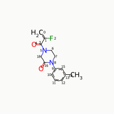 C=C(F)C(=O)N1CCN(c2cccc(C)c2)C(=O)C1